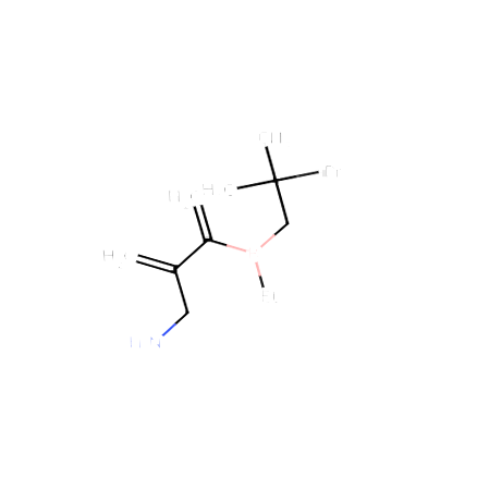 C=C(CN)C(=C)B(CC)CC(C)(C)C(C)C